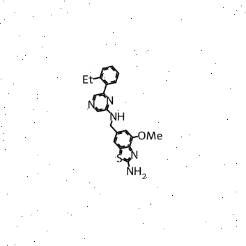 CCc1ccccc1-c1cncc(NCc2cc(OC)c3nc(N)sc3c2)n1